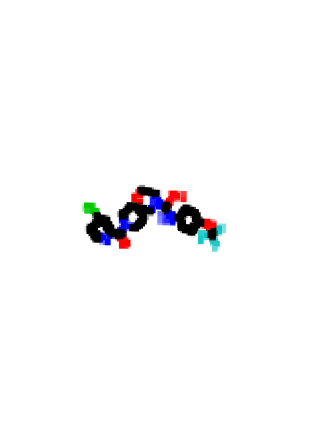 O=C(c1cc(Cl)ccn1)N1CCC2(CC1)CN(C(O)Nc1ccc(OC(F)(F)F)cc1)CCO2